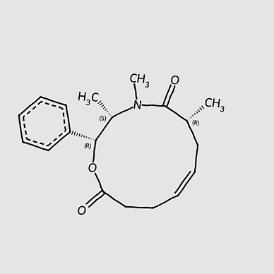 C[C@@H]1CC=CCCC(=O)O[C@H](c2ccccc2)[C@H](C)N(C)C1=O